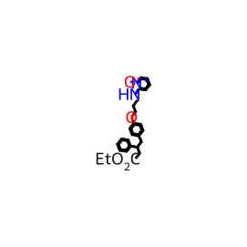 CCOC(=O)CC(Cc1ccc(OCCCNc2cccc[n+]2[O-])cc1)c1ccccc1